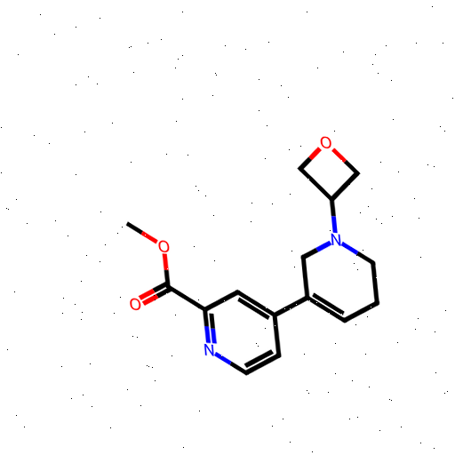 COC(=O)c1cc(C2=CCCN(C3COC3)C2)ccn1